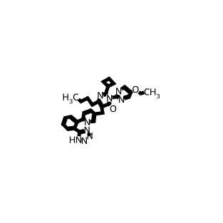 CCCCc1nc(C2CCC2)n(-c2ncc(OCC)cn2)c(=O)c1Cc1ccc(-c2ccccc2-c2nnn[nH]2)nc1